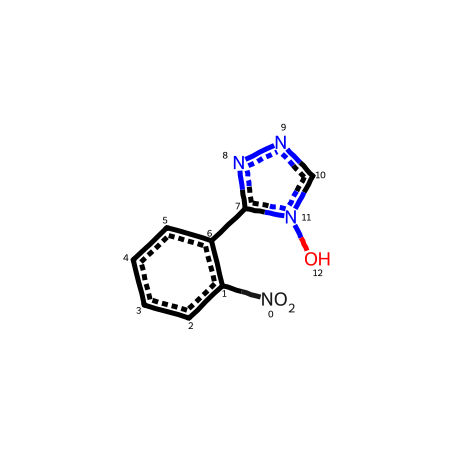 O=[N+]([O-])c1ccccc1-c1nncn1O